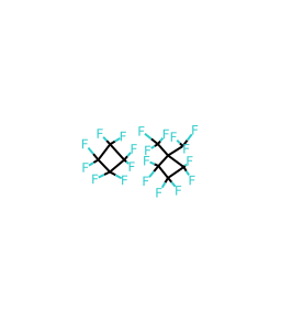 FC(F)(F)C1(C(F)(F)F)C(F)(F)C(F)(F)C1(F)F.FC1(F)C(F)(F)C(F)(F)C1(F)F